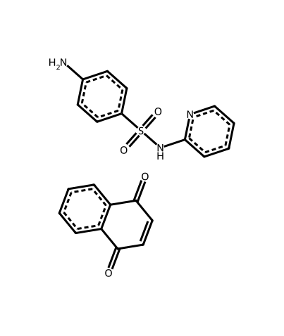 Nc1ccc(S(=O)(=O)Nc2ccccn2)cc1.O=C1C=CC(=O)c2ccccc21